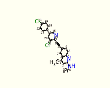 Cc1cc(NC(C)C)nc2ccc(C#Cc3ncc(-c4ccc(Cl)cc4)cc3Cl)cc12